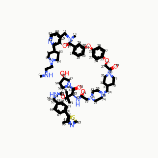 CNCCN1CCC(c2cc(CN(C)C(=O)c3cccc(Oc4ccc(OCC(=O)N5CCC(CN6CCN(CC(=O)N[C@H](C(=O)N7C[C@H](O)C[C@H]7C(=O)N[C@@H](C)c7ccc(-c8scnc8C)cc7)C(C)(C)C)CC6)CC5)cc4)c3)ccn2)CC1